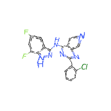 Fc1cc(F)c2[nH]nc(Nc3nc(-c4ccccc4Cl)nc4cnccc34)c2c1